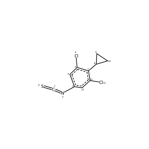 S=C=Nc1cc(Cl)c(C2CC2)c(Cl)c1